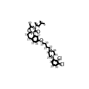 CC(C)CC(C)N(C(=O)N1C(=O)CCc2ccc(OCCCCN3CCN(c4cccc(Cl)c4Cl)CC3)cc21)C(C)C